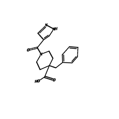 O=C(c1cn[nH]c1)N1CCC(Cc2ccccc2)(C(=O)O)CC1